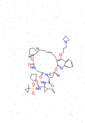 C=CC1C[C@]1(NC(=O)[C@@H]1C[C@@H]2CN1C(=O)[C@H](C1CCCC1)NC(=O)O[C@@H]1CCC[C@H]1CC/C=C/Cc1c(nc3ccccc3c1OCCCN1CCC1)O2)C(=O)NS(=O)(=O)C1(C)CC1